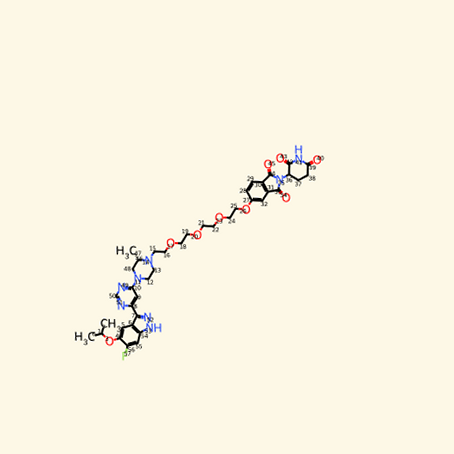 CC(C)Oc1cc2c(-c3cc(N4CCN(CCOCCOCCOCCOc5ccc6c(c5)C(=O)N(C5CCC(=O)NC5=O)C6=O)[C@@H](C)C4)ncn3)n[nH]c2cc1F